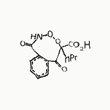 CCCC1(C(=O)O)OONC(=O)c2ccccc2C1=O